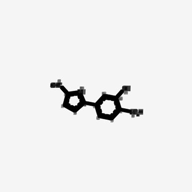 O=Cc1ccc(-c2ccc(C(=O)O)c(O)c2)[nH]1